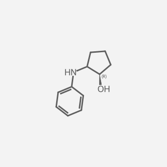 O[C@@H]1CCCC1Nc1ccccc1